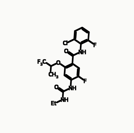 CCNC(=O)Nc1cc(OC(C)C(F)(F)F)c(C(=O)Nc2c(F)cccc2Cl)cc1F